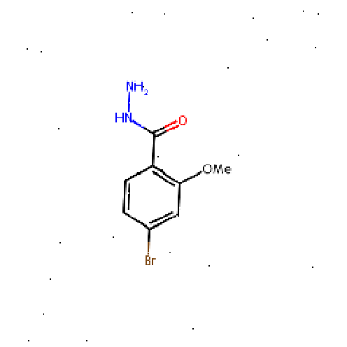 COc1cc(Br)ccc1C(=O)NN